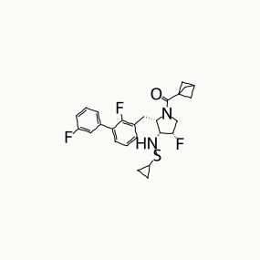 O=C(N1C[C@H](F)[C@H](NSC2CC2)[C@@H]1Cc1cccc(-c2cccc(F)c2)c1F)C12CC(C1)C2